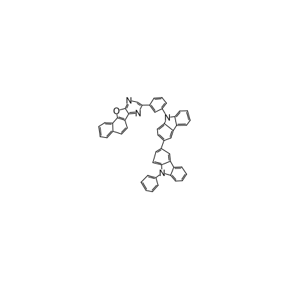 c1ccc(-n2c3ccccc3c3cc(-c4ccc5c(c4)c4ccccc4n5-c4cccc(-c5cnc6oc7c8ccccc8ccc7c6n5)c4)ccc32)cc1